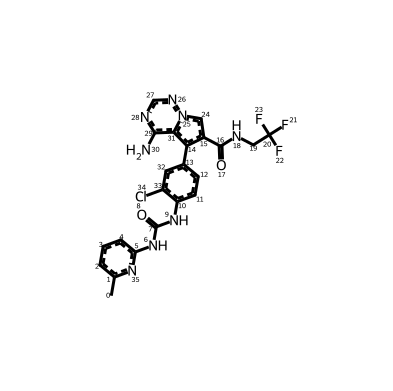 Cc1cccc(NC(=O)Nc2ccc(-c3c(C(=O)NCC(F)(F)F)cn4ncnc(N)c34)cc2Cl)n1